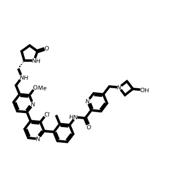 COc1nc(-c2ccnc(-c3cccc(NC(=O)c4ccc(CN5CC(O)C5)cn4)c3C)c2Cl)ccc1CNC[C@@H]1CCC(=O)N1